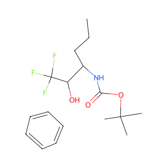 CCCC(NC(=O)OC(C)(C)C)C(O)C(F)(F)F.c1ccccc1